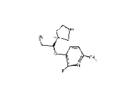 Cc1ccc(OC(CC(C)C)[C@H]2CCNC2)c(F)n1